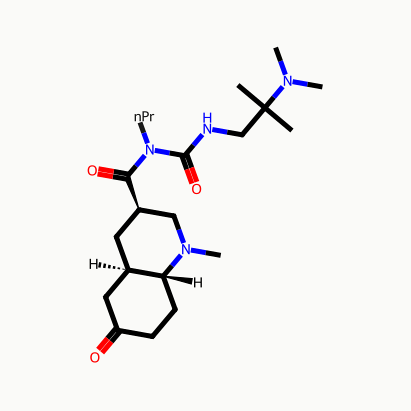 CCCN(C(=O)NCC(C)(C)N(C)C)C(=O)[C@@H]1C[C@@H]2CC(=O)CC[C@H]2N(C)C1